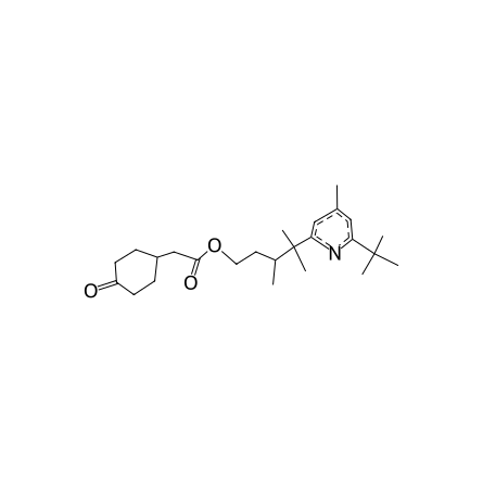 Cc1cc(C(C)(C)C)nc(C(C)(C)C(C)CCOC(=O)CC2CCC(=O)CC2)c1